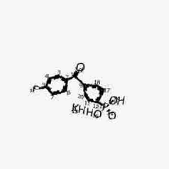 O=C(c1ccc(F)cc1)c1ccc(P(=O)(O)O)cc1.[KH]